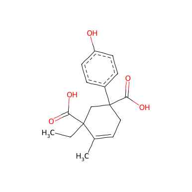 CCC1(C(=O)O)CC(C(=O)O)(c2ccc(O)cc2)CC=C1C